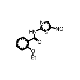 CCOc1ccccc1C(=O)Nc1ncc(N=O)s1